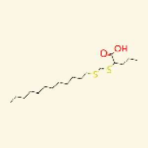 CCCCCCCCCCCCSCSC(CCC)C(=O)O